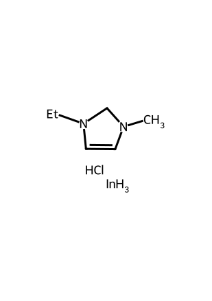 CCN1C=CN(C)C1.Cl.[InH3]